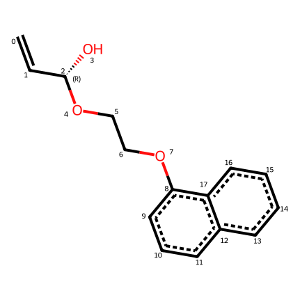 C=C[C@H](O)OCCOc1cccc2ccccc12